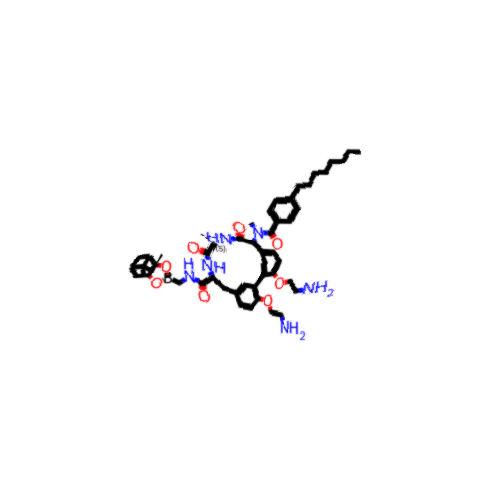 CCCCCCCCc1ccc(C(=O)N(C)C2C(=O)N[C@@H](C)C(=O)NC(C(=O)NCB3OC4CC5CC(C5(C)C)[C@]4(C)O3)Cc3ccc(OCCN)c(c3)-c3cc2ccc3OCCN)cc1